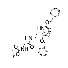 CC(C)(C)OC(=O)NCC(=O)NCC[C@H](NC(=O)OCc1ccccc1)C(=O)OCc1ccccc1